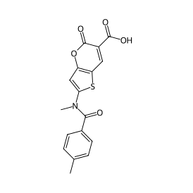 Cc1ccc(C(=O)N(C)c2cc3oc(=O)c(C(=O)O)cc3s2)cc1